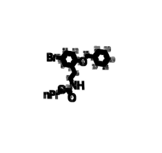 CCCOC(=O)NCCc1cc(Br)ccc1OCc1ccccc1